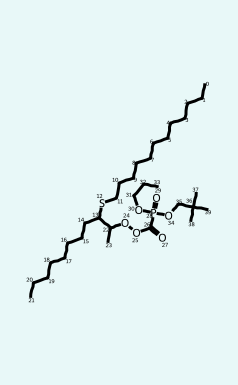 CCCCCCCCCCCCSC(CCCCCCCC)C(C)OOC(=O)P(=O)(OCCC)OCC(C)(C)C